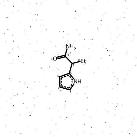 CCC(C(N)=O)c1ccc[nH]1